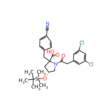 CC(C)(C)[Si](C)(C)O[C@H]1CN(C(=O)Cc2cc(Cl)cc(Cl)c2)C(Cc2ccc(C#N)cc2)(C(=O)O)C1